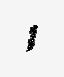 C=CC1CCC(OC(=O)c2ccc(-c3ccc(-c4ccc(C5CO5)c(F)c4F)cc3)cc2F)CO1